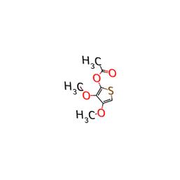 COc1csc(OC(C)=O)c1OC